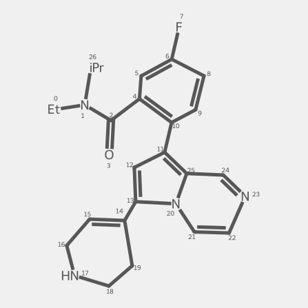 CCN(C(=O)c1cc(F)ccc1-c1cc(C2=CCNCC2)n2ccncc12)C(C)C